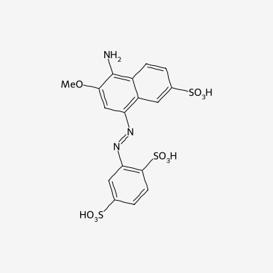 COc1cc(N=Nc2cc(S(=O)(=O)O)ccc2S(=O)(=O)O)c2cc(S(=O)(=O)O)ccc2c1N